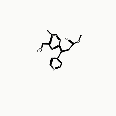 COC(=O)CC(c1ccncc1)c1ccc(C)c(CO)c1